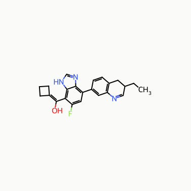 CCC1C=Nc2cc(-c3cc(F)c(C(O)=C4CCC4)c4[nH]cnc34)ccc2C1